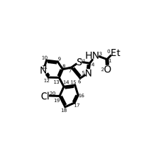 CCC(=O)Nc1ncc(-c2ccncc2-c2ccccc2Cl)s1